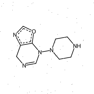 C1=NCc2ncoc2N1N1CCNCC1